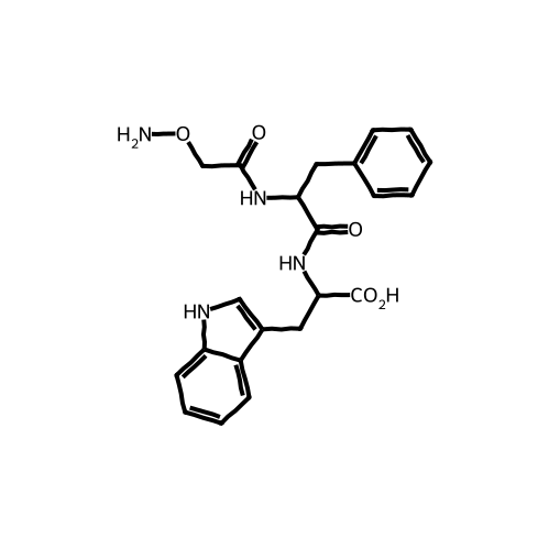 NOCC(=O)NC(Cc1ccccc1)C(=O)NC(Cc1c[nH]c2ccccc12)C(=O)O